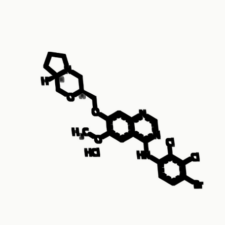 COc1cc2c(Nc3ccc(Br)c(Cl)c3Cl)ncnc2cc1OC[C@@H]1CN2CCC[C@H]2CO1.Cl